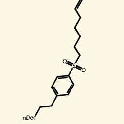 C=CCCCCCS(=O)(=O)c1ccc(CCCCCCCCCCCC)cc1